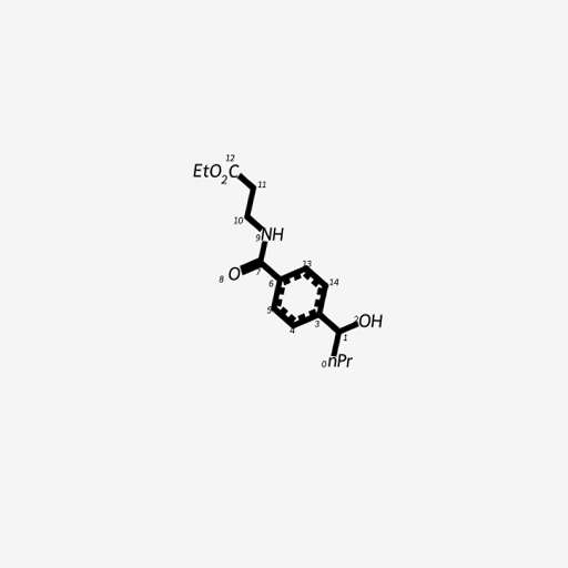 CCCC(O)c1ccc(C(=O)NCCC(=O)OCC)cc1